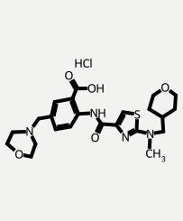 CN(CC1CCOCC1)c1nc(C(=O)Nc2ccc(CN3CCOCC3)cc2C(=O)O)cs1.Cl